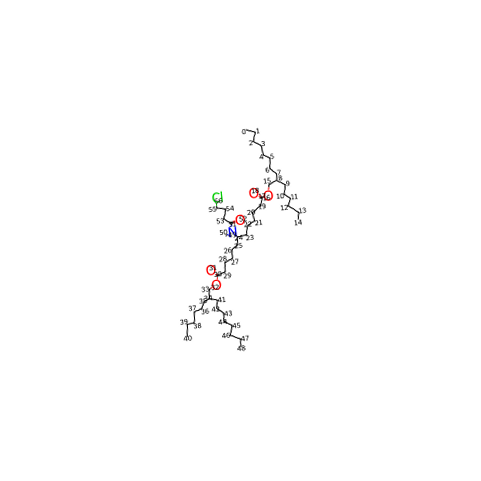 CCCCCCCCC(CCCCCC)COC(=O)CCCCCC(CCCCCC(=O)OCC(CCCCCC)CCCCCCCC)N(C)C(=O)CCCCl